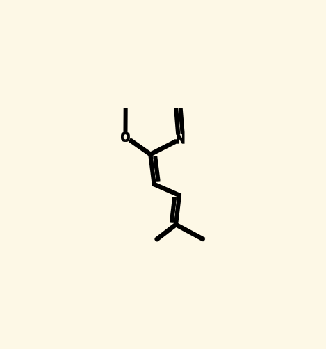 C=N/C(=C\C=C(C)C)OC